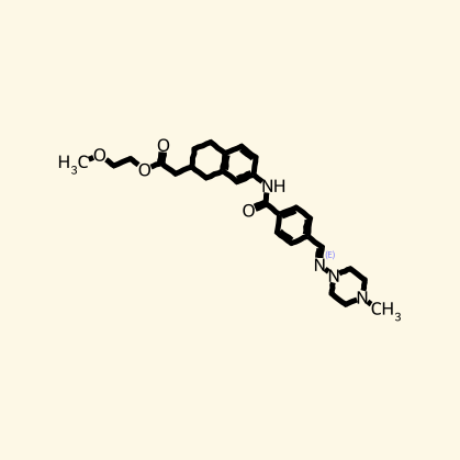 COCCOC(=O)CC1CCc2ccc(NC(=O)c3ccc(/C=N/N4CCN(C)CC4)cc3)cc2C1